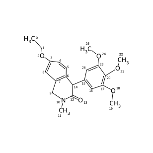 CCOc1ccc2c(c1)CN(C)C(=O)C2c1cc(OC)c(OC)c(OC)c1